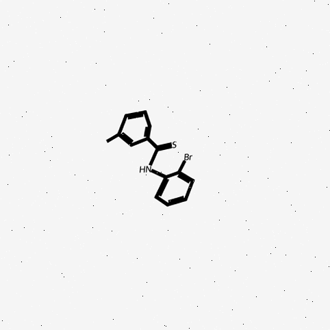 Cc1cccc(C(=S)Nc2ccccc2Br)c1